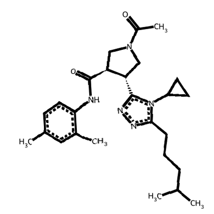 CC(=O)N1C[C@H](C(=O)Nc2ccc(C)cc2C)[C@@H](c2nnc(CCCC(C)C)n2C2CC2)C1